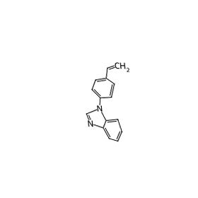 C=Cc1ccc(-n2cnc3ccccc32)cc1